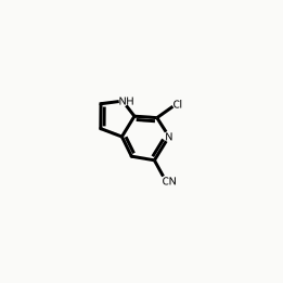 N#Cc1cc2cc[nH]c2c(Cl)n1